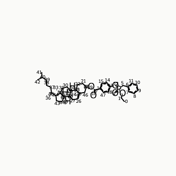 CCOP(=O)(Cc1ccccc1)Oc1ccc(C(=O)O[C@@H]2CC[C@@]3(C)C(=CC[C@@H]4[C@@H]3CC[C@]3(C)C([C@H](C)CCCC(C)C)CC[C@@H]43)C2)cc1